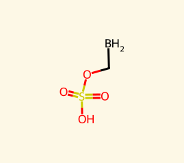 BCOS(=O)(=O)O